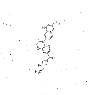 CCC1(F)CN(C(=O)c2cnc3c(c2)OCCN3C2=CC3NC=C(C)CN3C=C2)C1